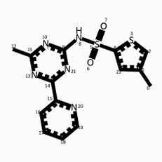 Cc1csc(S(=O)(=O)Nc2nc(C)nc(-c3ccccn3)n2)c1